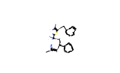 CCOC(=O)C1=C(C)NC(C)(c2nc(C(=O)OCC)c(Cc3ccccc3)s2)C(C(=O)OCC)C1c1ccccc1